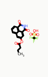 CCCC(=O)Oc1cc2c3c(cccc3c1)C(=O)NC2=O.O=S(=O)(O)C(F)(F)F